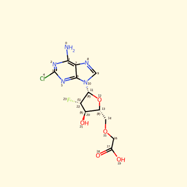 Nc1nc(Cl)nc2c1ncn2[C@@H]1O[C@H](COCC(=O)O)[C@@H](O)[C@@H]1F